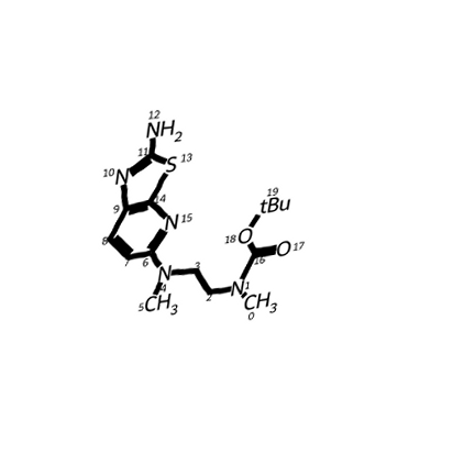 CN(CCN(C)c1ccc2nc(N)sc2n1)C(=O)OC(C)(C)C